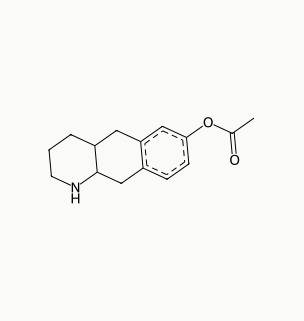 CC(=O)Oc1ccc2c(c1)CC1CCCNC1C2